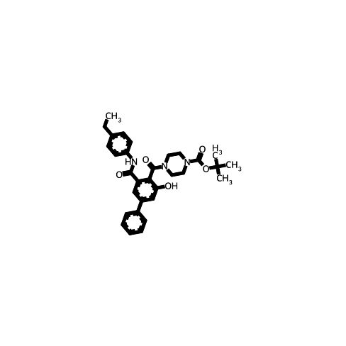 CCc1ccc(NC(=O)c2cc(-c3ccccc3)cc(O)c2C(=O)N2CCN(C(=O)OC(C)(C)C)CC2)cc1